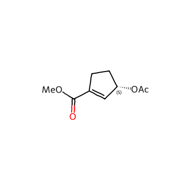 COC(=O)C1=C[C@@H](OC(C)=O)CC1